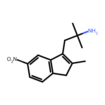 CC1=C(CC(C)(C)N)c2cc([N+](=O)[O-])ccc2C1